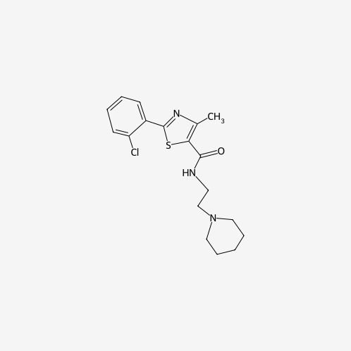 Cc1nc(-c2ccccc2Cl)sc1C(=O)NCCN1CCCCC1